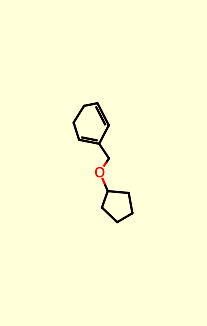 C1=CC(COC2CCCC2)=CCC1